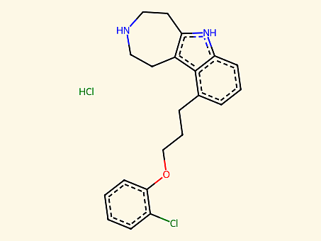 Cl.Clc1ccccc1OCCCc1cccc2[nH]c3c(c12)CCNCC3